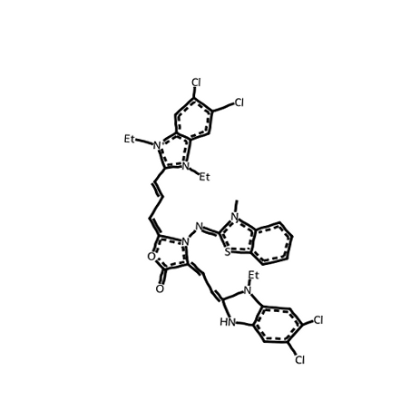 CCN1C(=CC=c2c(=O)oc(=CC=Cc3n(CC)c4cc(Cl)c(Cl)cc4[n+]3CC)n2/N=c2\sc3ccccc3n2C)Nc2cc(Cl)c(Cl)cc21